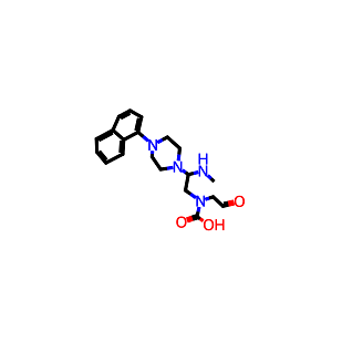 CNC(CN(CC=O)C(=O)O)N1CCN(c2cccc3ccccc23)CC1